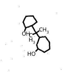 CC(C)(C1CCCCC(O)C1)C1CCCCC1O